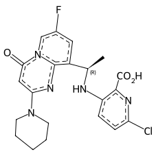 C[C@@H](Nc1ccc(Cl)nc1C(=O)O)c1cc(F)cn2c(=O)cc(N3CCCCC3)nc12